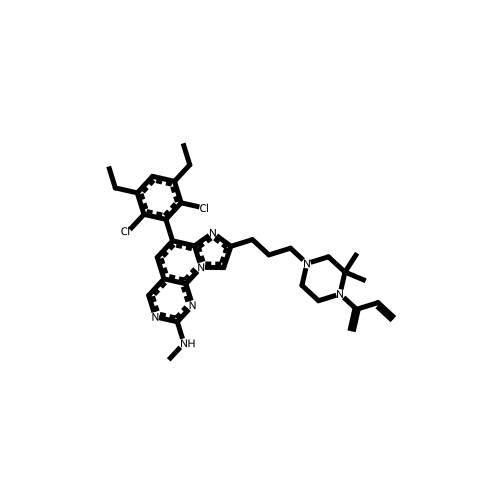 C=CC(=C)N1CCN(CCCc2cn3c(n2)c(-c2c(Cl)c(CC)cc(CC)c2Cl)cc2cnc(NC)nc23)CC1(C)C